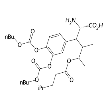 CCCCOC(=O)Oc1ccc(C(C(C)C(C)OC(=O)CCC(C)C)[C@H](N)C(=O)O)cc1OC(=O)OCCCC